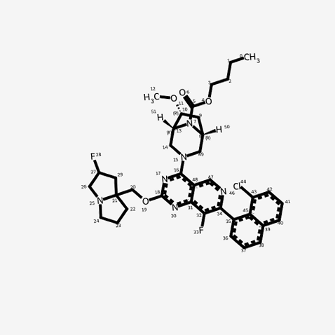 CCCCOC(=O)N1[C@@H]2C[C@@H](OC)[C@H]1CN(c1nc(OCC34CCCN3CC(F)C4)nc3c(F)c(-c4cccc5cccc(Cl)c45)ncc13)C2